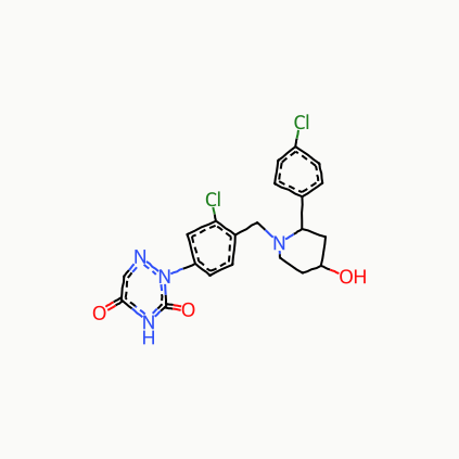 O=c1cnn(-c2ccc(CN3CCC(O)CC3c3ccc(Cl)cc3)c(Cl)c2)c(=O)[nH]1